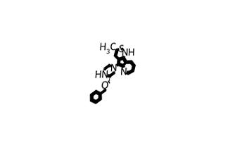 CC1=Cc2c(c3ccccnc-3c2N2CCN[C@@H](COCc3ccccc3)C2)NS1